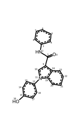 O=C(Nc1ccccc1)c1cn(-c2ccc(O)cc2)c2ccccc12